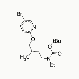 CCN(CCC(C)COc1ccc(Br)cn1)C(=O)OC(C)(C)C